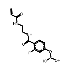 C=CC(=O)NCCNC(=O)c1ccc(OB(O)O)cc1F